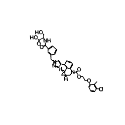 Cc1c(Cl)cccc1OCCOC(=O)N1C[C@@H]2C[C@@H]2c2c(-c3cnn(Cc4cccc(C(=O)NC(CO)C(=O)O)c4)c3)cccc21